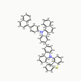 c1ccc2c(-c3ccc(-n4c5ccc(-c6ccc7c(c6)c6ccccc6n7-c6cccc7sc8ccccc8c67)cc5c5ccc6ccccc6c54)cc3)cccc2c1